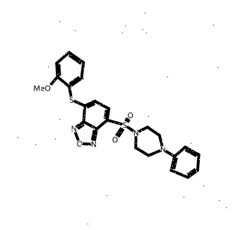 COc1ccccc1Sc1ccc(S(=O)(=O)N2CCN(c3ccccc3)CC2)c2nonc12